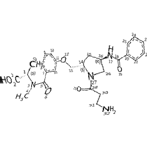 C[C@@H](C(=O)O)N(C)C(=O)c1cccc(OC[C@@H]2C[C@@H](NC(=O)c3ccccc3)CN2C(=O)CCN)c1